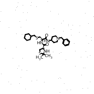 CC1(C)N[C@H](C(=O)N[C@@H](CSCC2CCCCC2)C(=O)NC2CCN(Cc3ccccc3)CC2)CS1